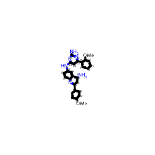 COc1ccc(-c2cc(N)c3cc(Nc4cc(-c5ccccc5OC)nc(N)n4)ccc3n2)cc1